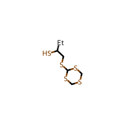 CCC(S)CSC1SCSCS1